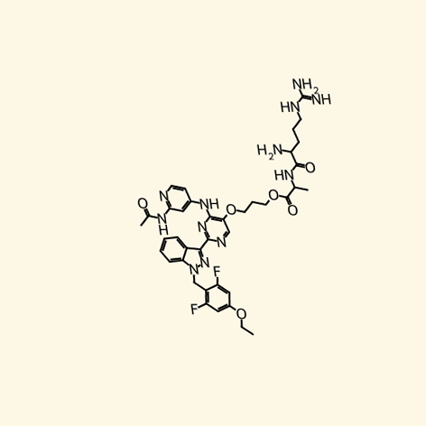 CCOc1cc(F)c(Cn2nc(-c3ncc(OCCCOC(=O)C(C)NC(=O)C(N)CCCNC(=N)N)c(Nc4ccnc(NC(C)=O)c4)n3)c3ccccc32)c(F)c1